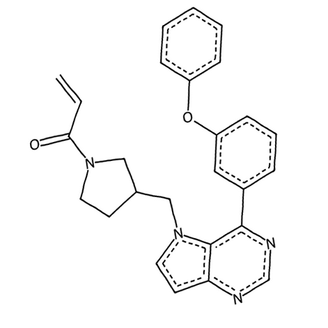 C=CC(=O)N1CCC(Cn2ccc3ncnc(-c4cccc(Oc5ccccc5)c4)c32)C1